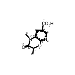 CC1Oc2ncc(C(=O)O)cc2N(C)C1=O